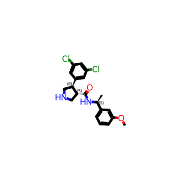 COc1cccc([C@H](C)NC(=O)[C@@H]2CNC[C@H]2c2cc(Cl)cc(Cl)c2)c1